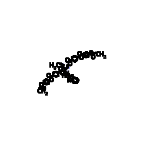 C=CC(=O)Oc1ccc(OC(=O)C2CCC(C(=O)O/C=C/C(/C=N/Nc3nc4ccccc4s3)=C(\C=C/C)OC(=O)C3CCC(C(=O)Oc4ccc(OC(=O)C=C)cc4)CC3)CC2)cc1